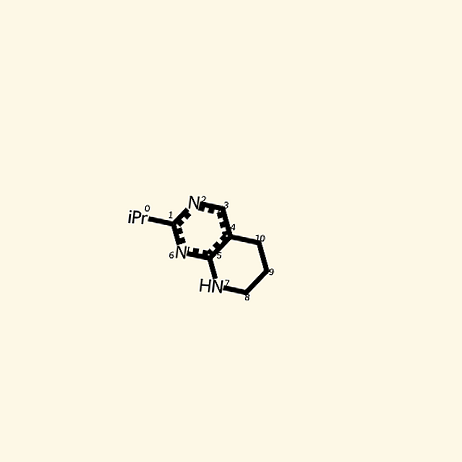 CC(C)c1ncc2c(n1)NCCC2